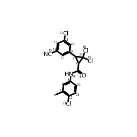 Cc1cc(NC(=O)C2C(c3cc(Cl)cc(C#N)c3)C2(Cl)Cl)ccc1Cl